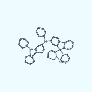 CC1CC=CC=C1C1(c2ccccc2)c2ccccc2-c2ccc(N(c3ccccc3)c3ccc4c5ccccc5n(-c5ccccc5)c4c3)cc21